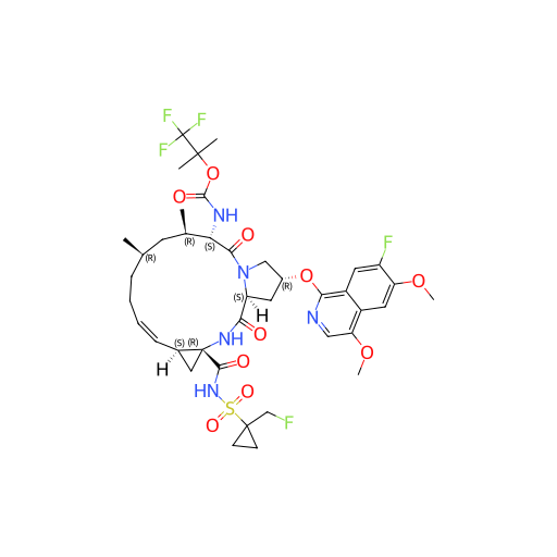 COc1cc2c(OC)cnc(O[C@@H]3C[C@H]4C(=O)N[C@]5(C(=O)NS(=O)(=O)C6(CF)CC6)C[C@H]5C=CCC[C@@H](C)C[C@@H](C)[C@H](NC(=O)OC(C)(C)C(F)(F)F)C(=O)N4C3)c2cc1F